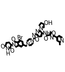 Cc1cc(-c2nc(C(=O)Nc3cc4oc(N5CCN(Cc6cc(Br)c7c(c6)CN(C6CCC(=O)NC6=O)C7=O)CC5)nc4nc3N3CCC(O)C3)co2)ccn1